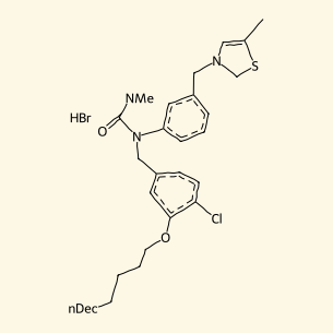 Br.CCCCCCCCCCCCCCOc1cc(CN(C(=O)NC)c2cccc(CN3C=C(C)SC3)c2)ccc1Cl